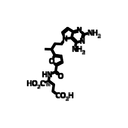 CC(CCn1ccc2nc(N)nc(N)c21)c1ccc(C(=O)N[C@@H](CCC(=O)O)C(=O)O)o1